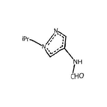 CC(C)n1cc(NC=O)cn1